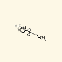 C=CCCCC(=O)Oc1ccnc(C)n1